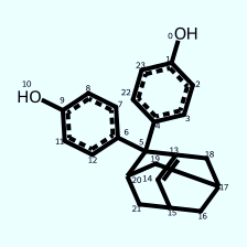 Oc1ccc(C2(c3ccc(O)cc3)C3=CC4CC(C3)CC2C4)cc1